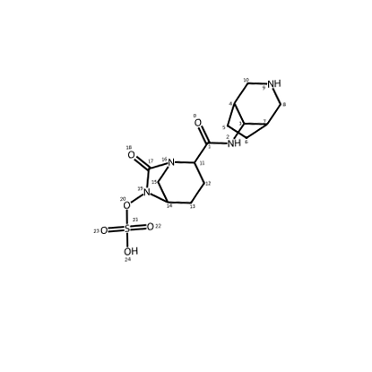 O=C(NC1C2CCC1CNC2)C1CCC2CN1C(=O)N2OS(=O)(=O)O